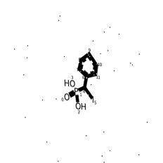 O=P(O)(O)C(I)c1ccccc1